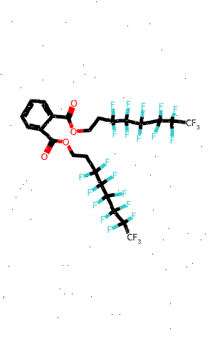 O=C(OCCC(F)(F)C(F)(F)C(F)(F)C(F)(F)C(F)(F)C(F)(F)F)c1ccccc1C(=O)OCCC(F)(F)C(F)(F)C(F)(F)C(F)(F)C(F)(F)C(F)(F)F